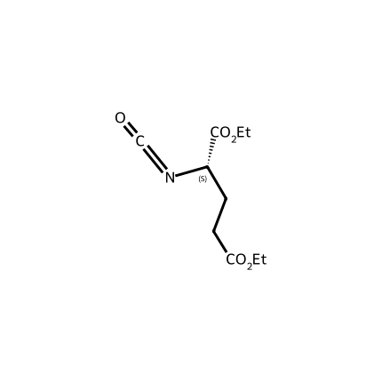 CCOC(=O)CC[C@H](N=C=O)C(=O)OCC